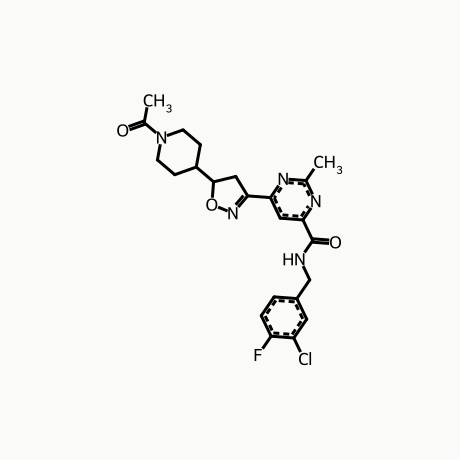 CC(=O)N1CCC(C2CC(c3cc(C(=O)NCc4ccc(F)c(Cl)c4)nc(C)n3)=NO2)CC1